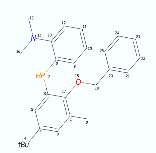 Cc1cc(C(C)(C)C)cc(Pc2ccccc2N(C)C)c1OCc1ccccc1